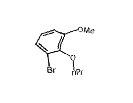 CCCOc1c(Br)cccc1OC